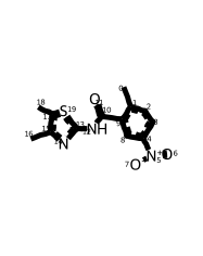 Cc1ccc([N+](=O)[O-])cc1C(=O)Nc1nc(C)c(C)s1